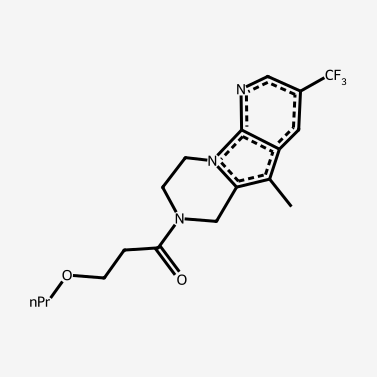 CCCOCCC(=O)N1CCn2c(c(C)c3cc(C(F)(F)F)cnc32)C1